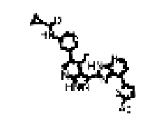 CC(=O)c1ccc(-c2ccnc3[nH]c(-c4n[nH]c5ncc(-c6cncc(NC(=O)C7CC7)c6)c(F)c45)nc23)s1